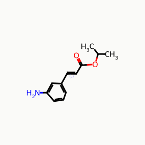 CC(C)OC(=O)/C=C/c1cccc(N)c1